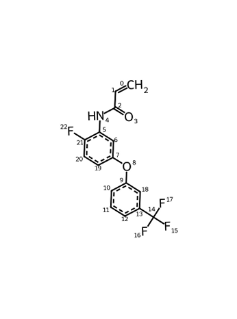 C=CC(=O)Nc1cc(Oc2cccc(C(F)(F)F)c2)ccc1F